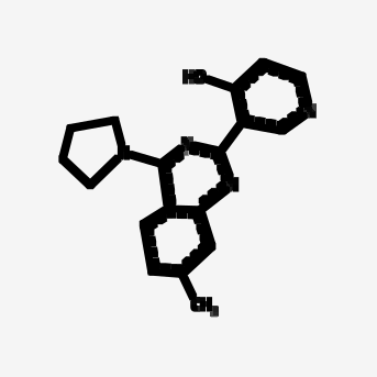 Cc1ccc2c(N3CCCC3)nc(-c3cnccc3O)nc2c1